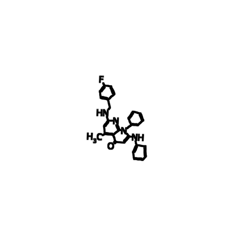 Cc1cc(NCc2ccc(F)cc2)nc2c1c(=O)cc(Nc1ccccc1)n2-c1ccccc1